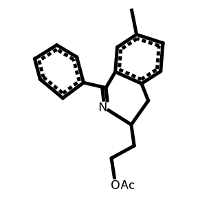 CC(=O)OCCC1Cc2ccc(C)cc2C(c2ccccc2)=N1